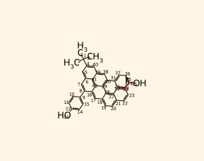 CC(C)(C)c1cc2cc(-c3ccc(O)cc3)c3cc4ccc5ccc(F)cc5c4c4c(-c5ccc(O)cc5)cc(c1)c2c34